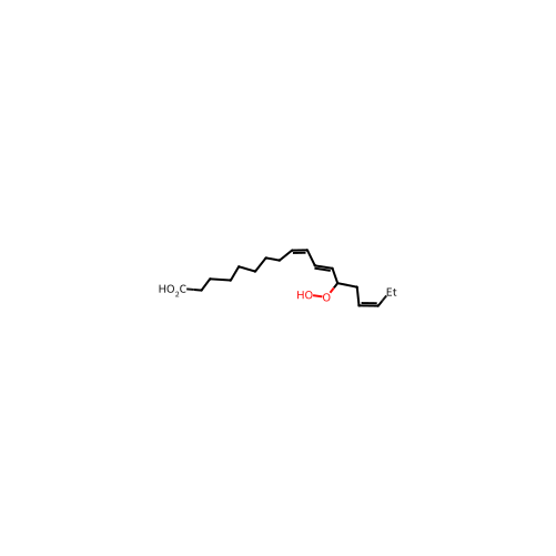 CC/C=C\CC(/C=C/C=C\CCCCCCCC(=O)O)OO